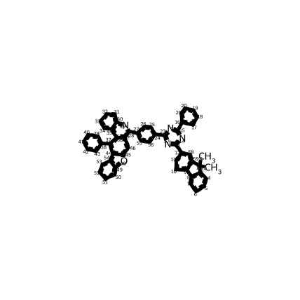 CC1(C)c2ccccc2-c2ccc(-c3nc(-c4ccccc4)nc(-c4ccc(-c5nc6ccccc6c6c(-c7ccccc7)c7c(cc56)oc5ccccc57)cc4)n3)cc21